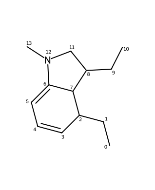 CCC1C=CC=C2C1C(CC)CN2C